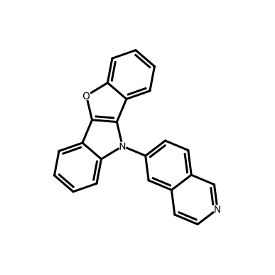 c1ccc2c(c1)oc1c3ccccc3n(-c3ccc4cnccc4c3)c21